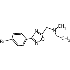 CCN(C)Cc1nc(-c2ccc(Br)cc2)no1